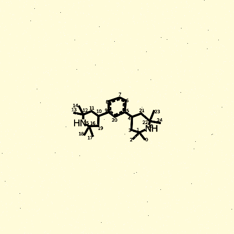 CC1(C)CC(c2cccc(C3CC(C)(C)NC(C)(C)C3)c2)CC(C)(C)N1